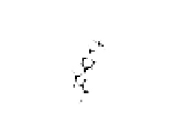 COC(=O)C1CN(C2=CCN(C(=O)OC(C)(C)C)CC2)C(=O)N1C